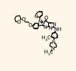 Cc1cc(Nc2ncc3c(=O)n4c(nc3n2)c2ccc(OCCOC3CCCCO3)cc2n4-c2ccccn2)ccc1N1CCN(C)CC1